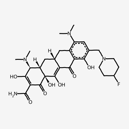 CN(C)c1cc(CN2CCC(F)CC2)c(O)c2c1C[C@H]1C[C@H]3[C@H](N(C)C)C(O)=C(C(N)=O)C(=O)[C@@]3(O)C(O)=C1C2=O